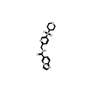 O=C(NCc1ccc(S(=O)(=O)C2CCOCC2)cn1)c1ccc2nccn2c1